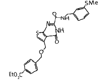 CCOC(=O)c1ccc(COCc2csc3nc(C(=O)NCc4cccc(SC)c4)[nH]c(=O)c23)cc1